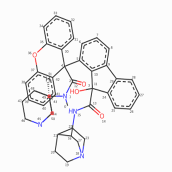 CN(C(=O)C1(c2cccc3c2C(O)(C(=O)NC2CN4CCC2CC4)c2ccccc2-3)c2ccccc2Oc2ccccc21)[C@H]1CN2CCC1CC2